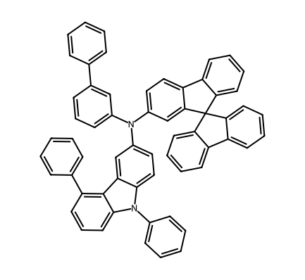 c1ccc(-c2cccc(N(c3ccc4c(c3)C3(c5ccccc5-c5ccccc53)c3ccccc3-4)c3ccc4c(c3)c3c(-c5ccccc5)cccc3n4-c3ccccc3)c2)cc1